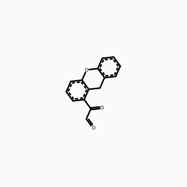 O=CC(=O)c1cccc2c1Cc1ccccc1O2